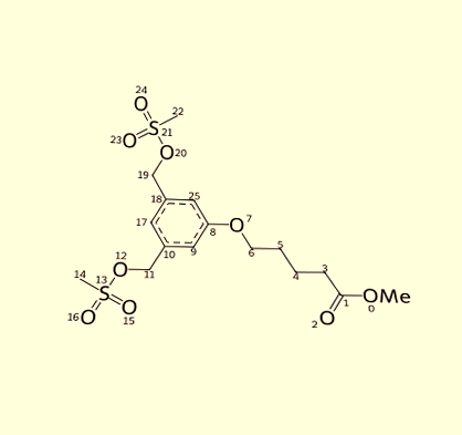 COC(=O)CCCCOc1cc(COS(C)(=O)=O)cc(COS(C)(=O)=O)c1